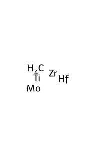 C.[Hf].[Mo].[Ti].[Zr]